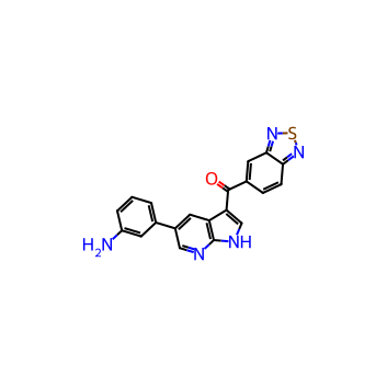 Nc1cccc(-c2cnc3[nH]cc(C(=O)c4ccc5nsnc5c4)c3c2)c1